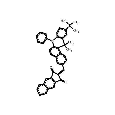 CC1(C)c2cc(S(C)(C)C)ccc2N(c2ccccc2)c2ccc3cc(C=C4C(=O)c5cc6ccccc6cc5C4=O)ccc3c21